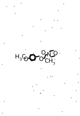 COc1ccc(CO[C@@H](C)C(=O)N2CCOCC2)cc1